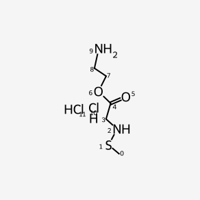 CSNCC(=O)OCCN.Cl.Cl